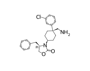 NC[C@]1(c2cccc(Cl)c2)CC[C@H](N2C(=O)OC[C@H]2Cc2ccccc2)CC1